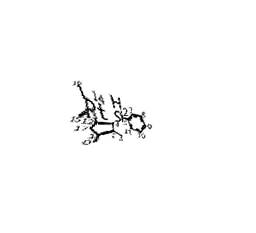 CC1=C(C)C([SiH2]c2ccccc2)=[C]([Pt]([CH3])([CH3])[CH3])C1